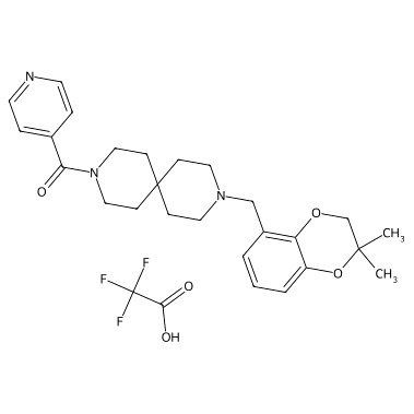 CC1(C)COc2c(CN3CCC4(CC3)CCN(C(=O)c3ccncc3)CC4)cccc2O1.O=C(O)C(F)(F)F